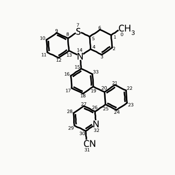 CC1C=CC2C(C1)Sc1ccccc1N2c1cccc(-c2ccccc2-c2cccc(C#N)n2)c1